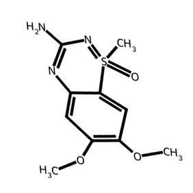 COc1cc2c(cc1OC)S(C)(=O)=NC(N)=N2